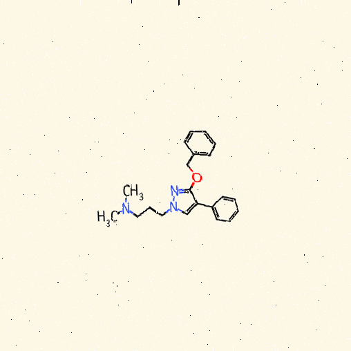 CN(C)CCCn1cc(-c2ccccc2)c(OCc2ccccc2)n1